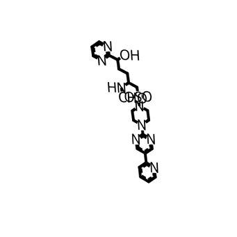 O=CNC(CCC(O)c1ncccn1)CS(=O)(=O)N1CCN(c2ncc(-c3ccccn3)cn2)CC1